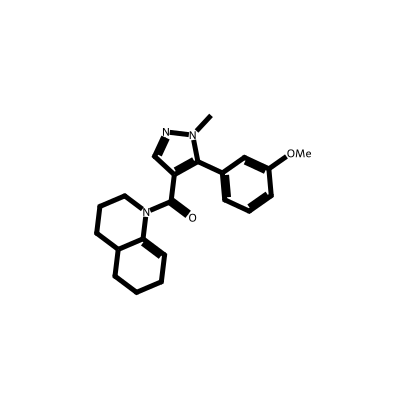 COc1cccc(-c2c(C(=O)N3CCCC4CCCC=C43)cnn2C)c1